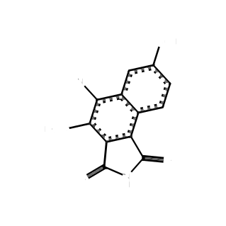 Nc1c(S(=O)(=O)O)c2c(c3ccc(S(=O)(=O)O)cc13)C(=O)NC2=O